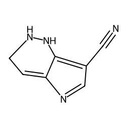 N#CC1=C2NNCC=C2N=C1